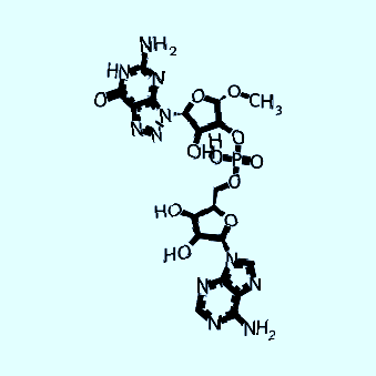 CO[C@H]1O[C@@H](n2nnc3c(=O)[nH]c(N)nc32)C(O)C1OP(=O)(O)OC[C@H]1O[C@@H](n2cnc3c(N)ncnc32)C(O)C1O